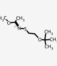 CO/C(C)=N/SCCOC(C)(C)C